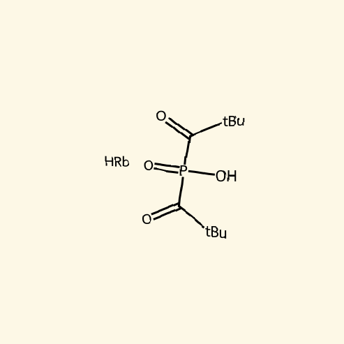 CC(C)(C)C(=O)P(=O)(O)C(=O)C(C)(C)C.[RbH]